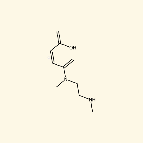 C=C(O)/C=C\C(=C)N(C)CCNC